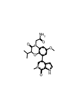 COc1cc(-c2cn(C)c(=O)c3[nH]ccc23)c2c(c1)N(CC(N)=O)C(=O)C(C(C)C)O2